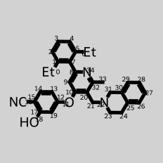 CCc1cccc(CC)c1-c1cc(Oc2ccc(C#N)c(O)c2)c(CN2CCc3ccccc3C2)c(C)n1